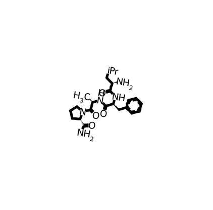 CC(C)C[C@H](N)C(=O)N[C@@H](Cc1ccccc1)C(=O)N[C@@H](C)C(=O)N1CCC[C@H]1C(N)=O